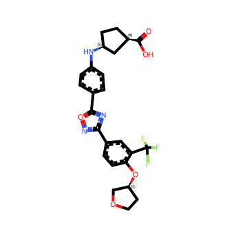 O=C(O)[C@@H]1CC[C@H](Nc2ccc(-c3nc(-c4ccc(O[C@H]5CCOC5)c(C(F)(F)F)c4)no3)cc2)C1